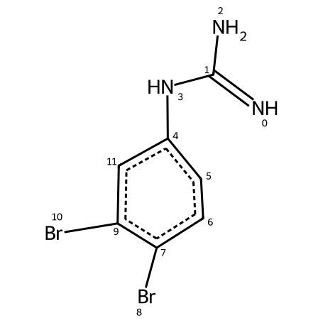 N=C(N)Nc1ccc(Br)c(Br)c1